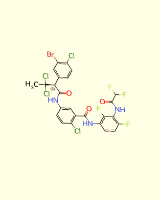 CC(Cl)(Cl)[C@H](C(=O)Nc1ccc(Cl)c(C(=O)Nc2ccc(F)c(NC(=O)C(F)F)c2F)c1)c1ccc(Cl)c(Br)c1